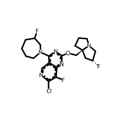 Fc1c(Cl)ncc2c(N3CCCCC(F)C3)nc(OC[C@@]34CCCN3C[C@H](F)C4)nc12